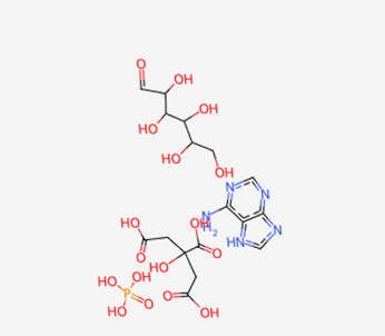 Nc1ncnc2nc[nH]c12.O=C(O)CC(O)(CC(=O)O)C(=O)O.O=CC(O)C(O)C(O)C(O)CO.O=P(O)(O)O